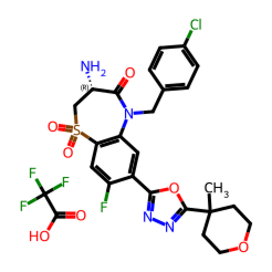 CC1(c2nnc(-c3cc4c(cc3F)S(=O)(=O)C[C@H](N)C(=O)N4Cc3ccc(Cl)cc3)o2)CCOCC1.O=C(O)C(F)(F)F